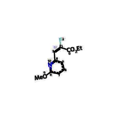 CCOC(=O)/C(F)=C\c1cccc(OC)n1